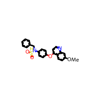 COc1ccc2c(Oc3ccc(N(Cc4ccccc4)[SH](=O)=O)cc3)ccnc2c1